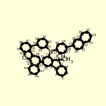 CC1(C)c2ccccc2-c2cccc(N(c3ccc(-c4ccc5ccccc5c4)cc3)c3cccc(-c4cccc5oc6c7ccccc7ccc6c45)c3)c21